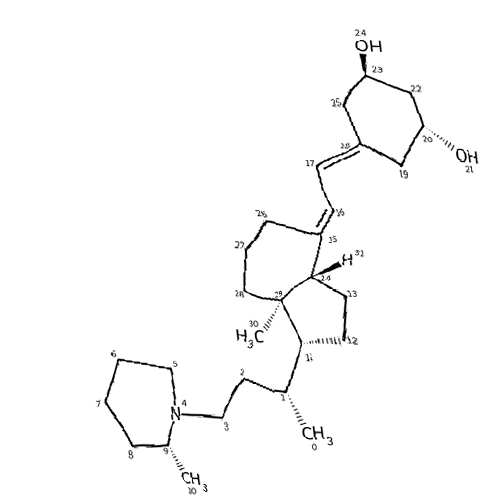 C[C@H](CCN1CCCC[C@H]1C)[C@H]1CC[C@H]2/C(=C/C=C3C[C@@H](O)C[C@H](O)C3)CCC[C@]12C